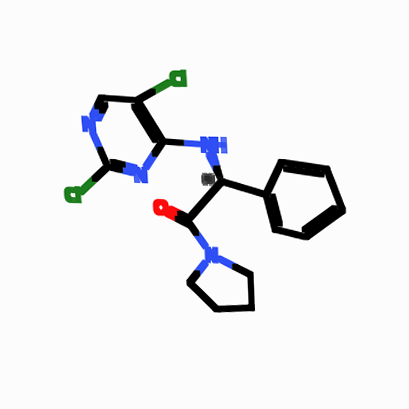 O=C([C@@H](Nc1nc(Cl)ncc1Cl)c1ccccc1)N1CCCC1